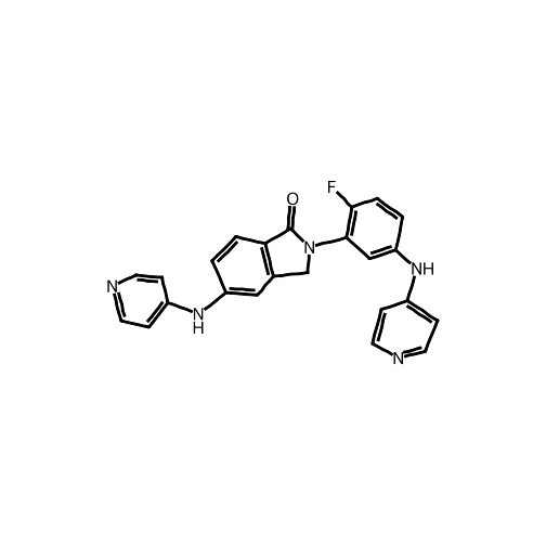 O=C1c2ccc(Nc3ccncc3)cc2CN1c1cc(Nc2ccncc2)ccc1F